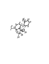 CCc1ccc(-c2ccccc2F)c([C@@H](OC)C(C)(C)C)c1